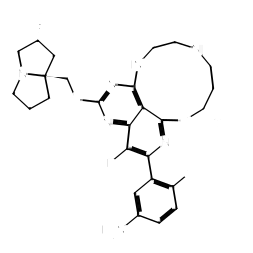 C[C@H]1CCNCCNc2nc(OC[C@@]34CCCN3C[C@H](F)C4)nc3c(F)c(-c4cc(N)ccc4C(F)(F)F)nc(c23)O1